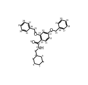 O=C(NCC1CCCCC1)c1ccc(OCc2ccccc2)cc1OCc1ccccc1